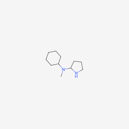 CN(C1CCCCC1)C1CCCN1